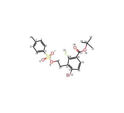 Cc1ccc(S(=O)(=O)OCCc2c(Br)ccc(C(=O)OC(C)(C)C)c2F)cc1